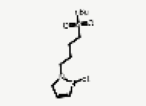 CCCCS(=O)(=O)CCCCN1CC=CN1CC